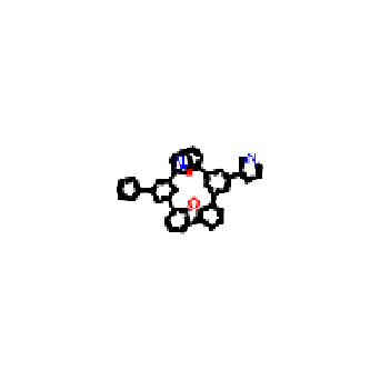 c1ccc(-c2cc(-c3ccccc3)cc(-c3cccc4c3oc3c(-c5cc(-c6cccnc6)cc(-c6cccnc6)c5)cccc34)c2)cc1